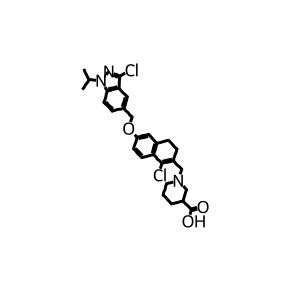 CC(C)n1nc(Cl)c2cc(COc3ccc4c(c3)CCC(CN3CCCC(C(=O)O)C3)=C4Cl)ccc21